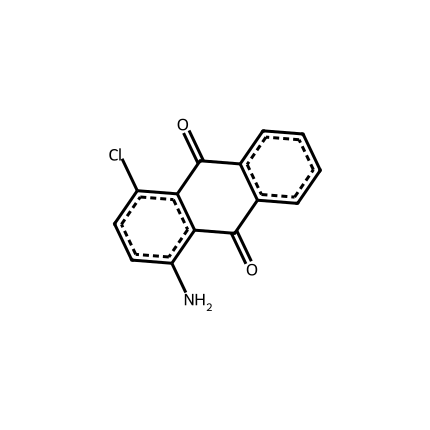 Nc1ccc(Cl)c2c1C(=O)c1ccccc1C2=O